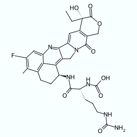 CC[C@@]1(O)C(=O)OCc2c1cc1n(c2=O)Cc2c-1nc1cc(F)c(C)c3c1c2[C@@H](NC(=O)[C@@H](CCCNC(N)=O)NC(=O)O)CC3